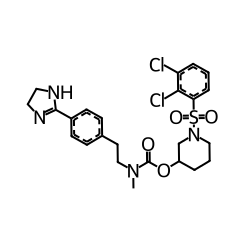 CN(CCc1ccc(C2=NCCN2)cc1)C(=O)OC1CCCN(S(=O)(=O)c2cccc(Cl)c2Cl)C1